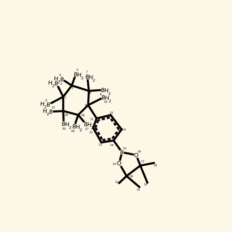 BC1(B)C(B)(B)C(B)(B)C(B)(c2ccc(B3OC(C)(C)C(C)(C)O3)cc2)C(B)(B)C1(B)B